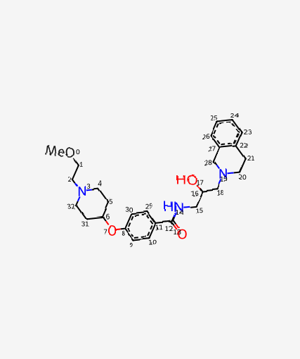 COCCN1CCC(Oc2ccc(C(=O)NCC(O)CN3CCc4ccccc4C3)cc2)CC1